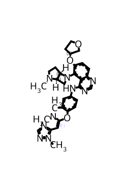 C=N/C(=C\c1ncnn1C)Oc1ccc(Nc2ncnc3ccc(O[C@H]4CCOC4)c(N4C[C@@H]5[C@H]4CCN5C)c23)cc1C